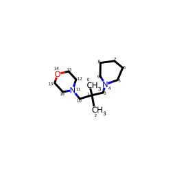 CC(C)(CN1C[CH]CCC1)CN1CCOCC1